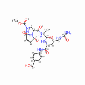 CC(C)[C@H](NC(=O)[C@H](CNC(=O)OC(C)(C)C)N1C(=O)C=CC1=O)C(=O)N[C@@H](CCCNC(N)=O)C(=O)Nc1ccc(CO)cc1